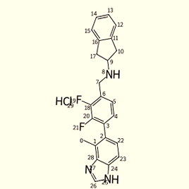 Cc1c(-c2ccc(CNC3Cc4ccccc4C3)c(F)c2F)ccc2[nH]cnc12.Cl